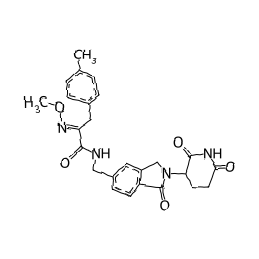 CO/N=C(\Cc1ccc(C)cc1)C(=O)NCc1ccc2c(c1)CN(C1CCC(=O)NC1=O)C2=O